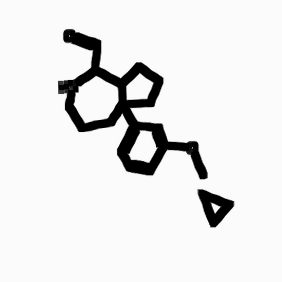 C1CC1.COc1cccc(C23CCCNC(C=O)C2CCC3)c1